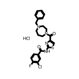 Cl.O=C(Nc1nc(C(=O)N2CCCN(Cc3ccccc3)CC2)cs1)c1ccc(F)c(Cl)c1